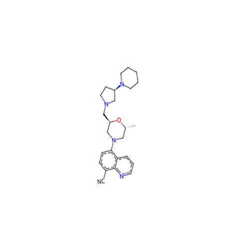 C[C@@H]1CN(c2ccc(C#N)c3ncccc23)C[C@@H](CN2CC[C@@H](N3CCCCC3)C2)O1